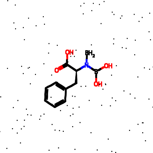 BN(B(O)O)[C@@H](Cc1ccccc1)C(=O)O